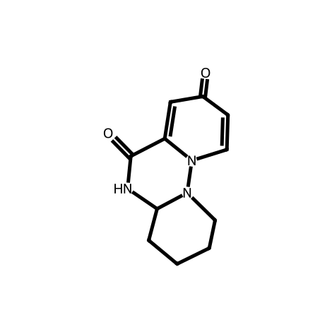 O=C1NC2CCCCN2n2ccc(=O)cc21